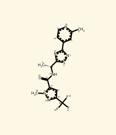 Cc1cc(-c2nsc([C@@H](C)NC(=O)c3cc(C(F)(F)F)nn3C)n2)ccn1